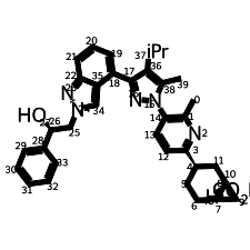 Cc1nc([C@@H]2CC[C@]3(C(=O)O)C[C@@H]3C2)ccc1-n1nc(-c2cccc3nn(C[C@H](O)c4ccccc4)cc23)c(C(C)C)c1C